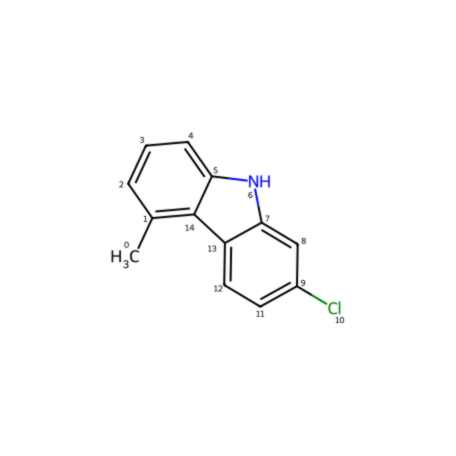 Cc1cccc2[nH]c3cc(Cl)ccc3c12